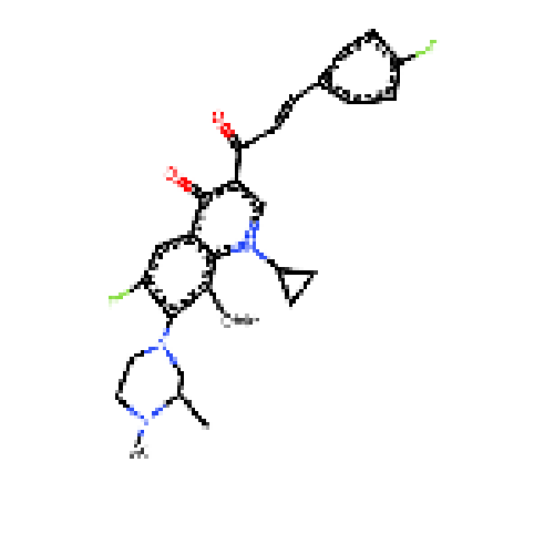 COc1c(N2CCN(C(C)=O)C(C)C2)c(F)cc2c(=O)c(C(=O)C=Cc3ccc(F)cc3)cn(C3CC3)c12